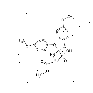 COC(=O)CNC(Oc1ccc(OC)cc1)(Oc1ccc(OC)cc1)P(=O)(O)O